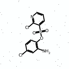 Nc1cc(Cl)ccc1OS(=O)(=O)c1cccnc1Cl